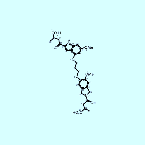 COc1cc(OCCCOc2cc3c(cc2OC)CN(C(=O)CC(C)C(=O)O)C3)c2cc(C(=O)CC(C)C(=O)O)sc2c1